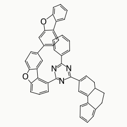 C1=C(c2nc(-c3ccccc3)nc(-c3cccc4oc5ccc(-c6ccc7c(c6)oc6ccccc67)cc5c34)n2)C=C2c3ccccc3CCC2C1